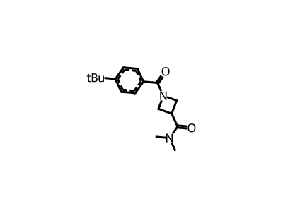 CN(C)C(=O)C1CN(C(=O)c2ccc(C(C)(C)C)cc2)C1